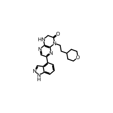 O=C1CNc2ncc(-c3cccc4[nH]ncc34)nc2N1CCC1CCOCC1